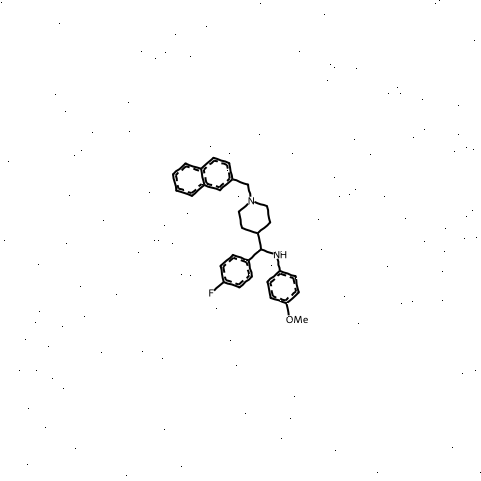 COc1ccc(NC(c2ccc(F)cc2)C2CCN(Cc3ccc4ccccc4c3)CC2)cc1